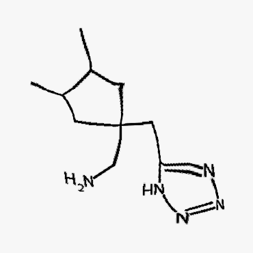 CC1CC(CN)(Cc2nnn[nH]2)CC1C